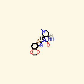 CN1CC[C@@H]2NC(=O)N(c3nc4c5c(ccc4s3)OCCO5)[C@@H]2C1